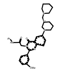 COc1cccc(-c2nc3ccc(N4CCC[C@H](CN5CCCCC5)C4)cc3c(=O)n2CC(=O)NC(C)C)c1